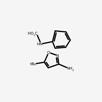 CC(C)(C)c1cc(N)no1.O=C(O)Nc1ccccc1